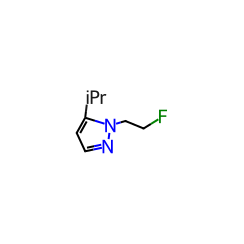 CC(C)c1ccnn1CCF